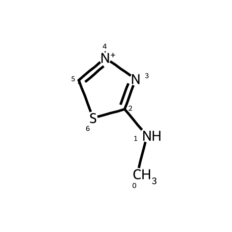 CNC1=N[N+]=[C]S1